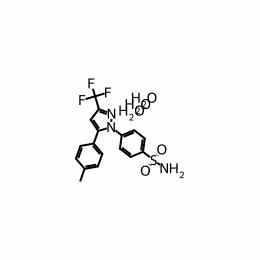 Cc1ccc(-c2cc(C(F)(F)F)nn2-c2ccc(S(N)(=O)=O)cc2)cc1.O.O.O